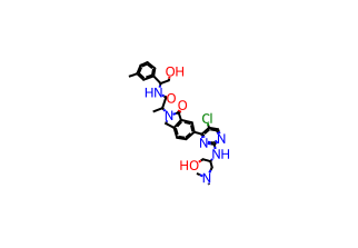 Cc1cccc(C(CO)NC(=O)C(C)N2Cc3ccc(-c4nc(NC(CO)CN(C)C)ncc4Cl)cc3C2=O)c1